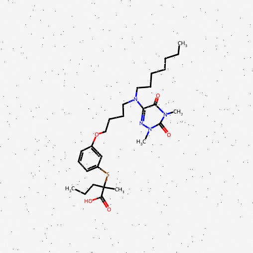 CCCCCCCN(CCCCOc1cccc(SC(C)(CCC)C(=O)O)c1)c1nn(C)c(=O)n(C)c1=O